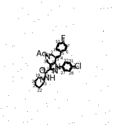 CC(=O)N1C/C(=C\c2ccc(F)cc2)c2c(c(C(=O)NN3CCCCC3)nn2-c2ccc(Cl)cc2)C1